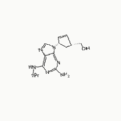 CCCNc1nc(N)nc2c1ncn2[C@@H]1C=C[C@H](CO)C1